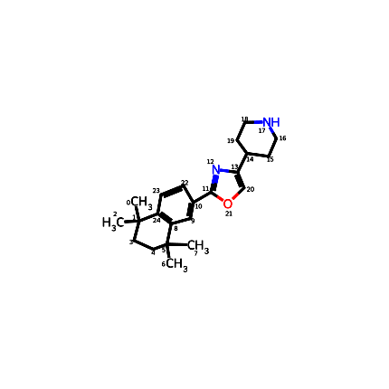 CC1(C)CCC(C)(C)c2cc(-c3nc(C4CCNCC4)co3)ccc21